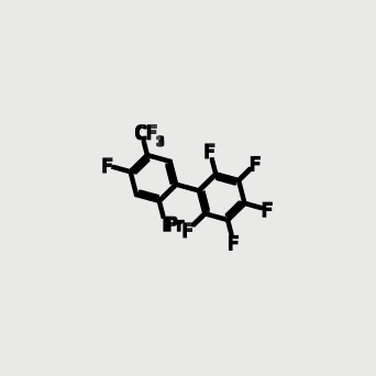 CC(C)c1cc(F)c(C(F)(F)F)cc1-c1c(F)c(F)c(F)c(F)c1F